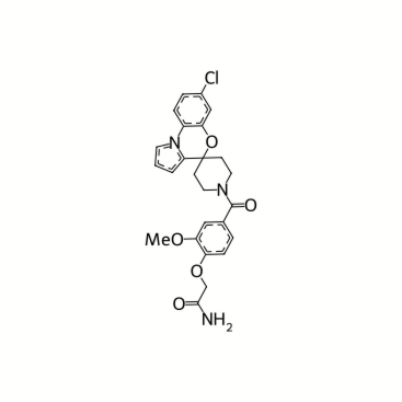 COc1cc(C(=O)N2CCC3(CC2)Oc2cc(Cl)ccc2-n2cccc23)ccc1OCC(N)=O